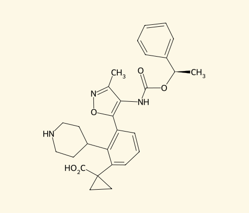 Cc1noc(-c2cccc(C3(C(=O)O)CC3)c2C2CCNCC2)c1NC(=O)O[C@H](C)c1ccccc1